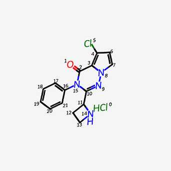 Cl.O=c1c2c(Cl)ccn2nc(C2CCN2)n1-c1ccccc1